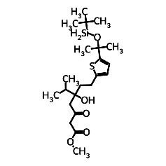 COC(=O)CC(=O)CC(O)(CCc1ccc(C(C)(C)O[SiH2]C(C)(C)C)s1)C(C)C